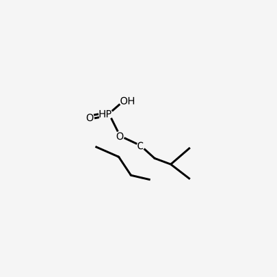 CC(C)CCO[PH](=O)O.CCCC